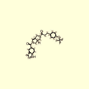 O=C(c1ccc2[nH]nnc2c1)N1C=C2CN(C(=O)CCc3ccc(OC(F)(F)F)cc3)C[C@H]2C1